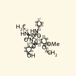 C=CCNCC(=O)N1[C@@H](NC(=O)NCc2ccccc2)CN(Cc2cccc(OC)c2OCC=C)C(=O)[C@@H]1Cc1ccc(O)cc1